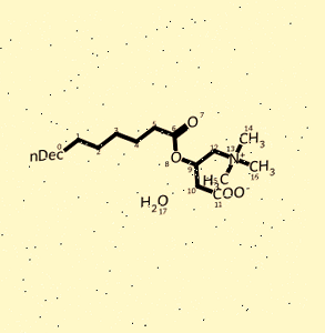 CCCCCCCCCCCCCCCC(=O)OC(CC(=O)[O-])C[N+](C)(C)C.O